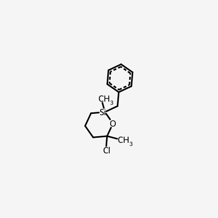 CC1(Cl)CCC[Si](C)(Cc2ccccc2)O1